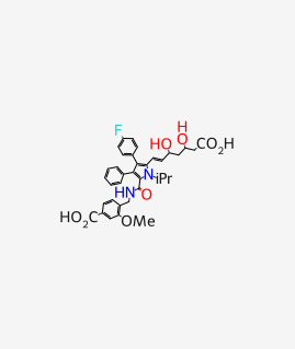 COc1cc(C(=O)O)ccc1CNC(=O)c1c(-c2ccccc2)c(-c2ccc(F)cc2)c(C=CC(O)CC(O)CC(=O)O)n1C(C)C